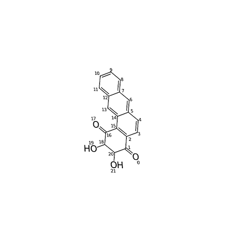 O=C1c2ccc3cc4ccccc4cc3c2C(=O)C(O)C1O